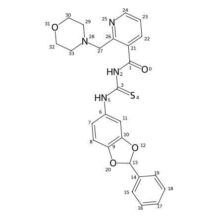 O=C(NC(=S)Nc1ccc2c(c1)OC(c1ccccc1)O2)c1cccnc1CN1CCOCC1